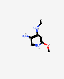 CCNc1cc(OC)ncc1N